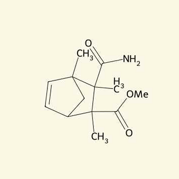 COC(=O)C1(C)C2C=CC(C)(C2)C1(C)C(N)=O